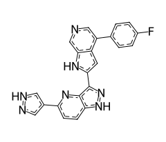 Fc1ccc(-c2cncc3[nH]c(-c4n[nH]c5ccc(-c6cn[nH]c6)nc45)cc23)cc1